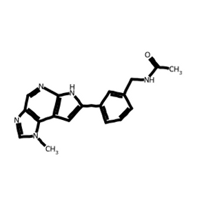 CC(=O)NCc1cccc(-c2cc3c(ncc4ncn(C)c43)[nH]2)c1